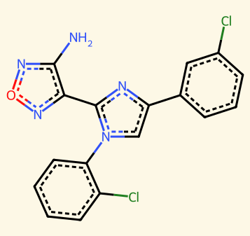 Nc1nonc1-c1nc(-c2cccc(Cl)c2)cn1-c1ccccc1Cl